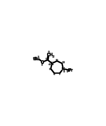 C=C(OC(C)(C)C)N1CCCN(C(C)C)CC1